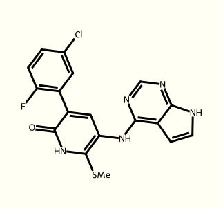 CSc1[nH]c(=O)c(-c2cc(Cl)ccc2F)cc1Nc1ncnc2[nH]ccc12